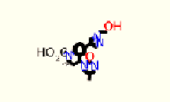 Cc1cnc(Oc2c(-c3cnn(CCO)c3)ccc3c2CC[C@H](C)N3C(=O)O)nc1